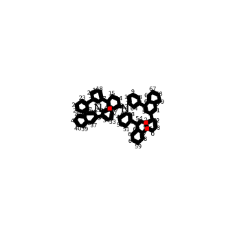 c1ccc(-c2cc(-c3cccc(N(c4ccc(-c5cccc(-c6ccccc6)c5-n5c6ccccc6c6cc7ccccc7cc65)cc4)c4cccc(-c5cccc6ccccc56)c4)c3)c3ccccc3c2)cc1